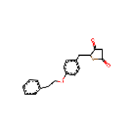 O=C1CC(=O)C(Cc2ccc(OCCc3ccccc3)cc2)S1